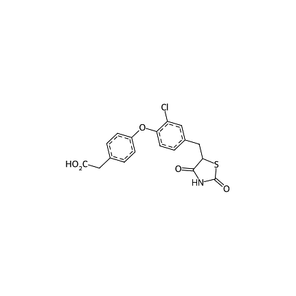 O=C(O)Cc1ccc(Oc2ccc(CC3SC(=O)NC3=O)cc2Cl)cc1